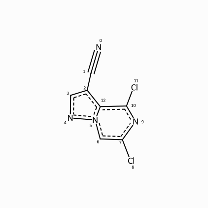 N#Cc1cnn2cc(Cl)nc(Cl)c12